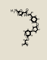 C[C@H](NC(=O)c1cnc(N)o1)c1ccc(OC2CCN(c3ccnc(OCC(F)F)c3)C2)cc1